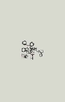 CC(C1CCCN1)n1c(S(=O)(=O)NCCCN2CCCC2=O)c(C(c2ccccc2)c2ccccc2)c2ccccc21.Cl